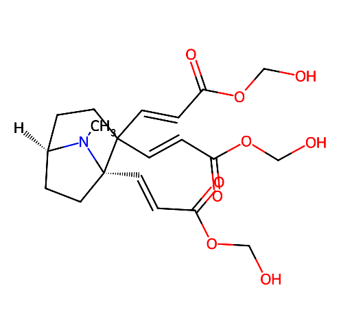 CN1[C@@H]2CCC(C=CC(=O)OCO)(C=CC(=O)OCO)[C@@]1(C=CC(=O)OCO)CC2